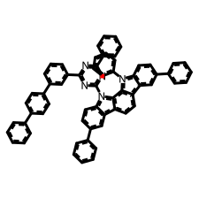 c1ccc(-c2ccc(-c3cccc(-c4nc(-c5ccccc5)nc(-n5c6ccc(-c7ccccc7)cc6c6ccc7c8cc(-c9ccccc9)ccc8n(-c8ccccc8)c7c65)n4)c3)cc2)cc1